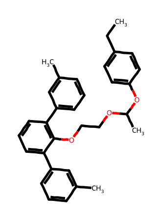 CCc1ccc(OC(C)OCCOc2c(-c3cccc(C)c3)cccc2-c2cccc(C)c2)cc1